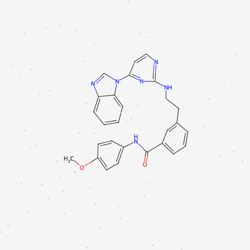 COc1ccc(NC(=O)c2cccc(CCNc3nccc(-n4cnc5ccccc54)n3)c2)cc1